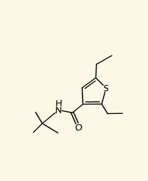 CCc1cc(C(=O)NC(C)(C)C)c(CC)s1